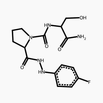 NC(=O)C(CO)NC(=O)N1CCCC1C(=O)NNc1ccc(F)cc1